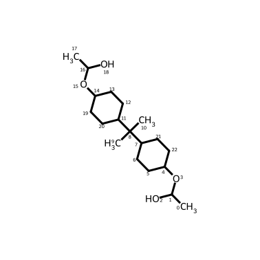 CC(O)OC1CCC(C(C)(C)C2CCC(OC(C)O)CC2)CC1